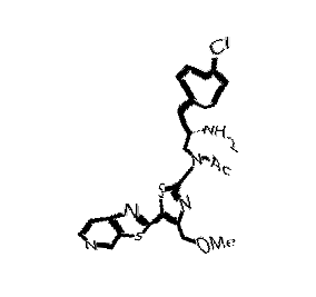 COCc1nc(N(C[C@@H](N)Cc2ccc(Cl)cc2)C(C)=O)sc1-c1nc2ccncc2s1